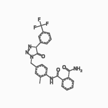 Cc1cc(CN2N=NC(c3cccc(C(F)(F)F)c3)C2=O)ccc1NC(=O)c1ccccc1C(N)=O